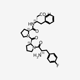 N[C@@H](Cc1ccc(F)cc1)C(=O)N1CCC[C@H]1C(=O)N1CCC[C@H]1C(=O)N[C@H](CC(=O)O)Cc1ccccc1